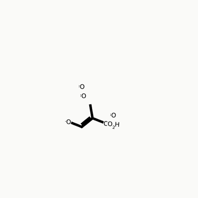 CC(=C[O])C(=O)O.[O].[O].[O]